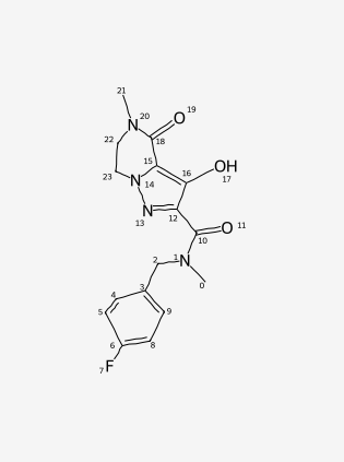 CN(Cc1ccc(F)cc1)C(=O)c1nn2c(c1O)C(=O)N(C)CC2